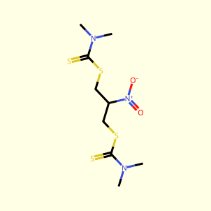 CN(C)C(=S)SCC(CSC(=S)N(C)C)[N+](=O)[O-]